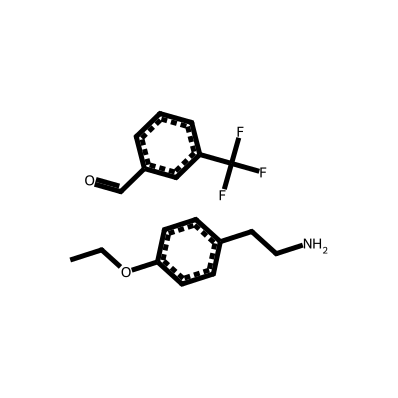 CCOc1ccc(CCN)cc1.O=Cc1cccc(C(F)(F)F)c1